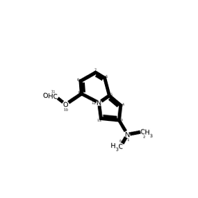 CN(C)c1cc2cccc(OC=O)n2c1